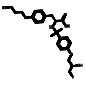 CC(C)(N[C@@H](Cc1ccc(OCCCCl)cc1)C(=O)O)c1ccc(OC[C@@H](O)CF)cc1